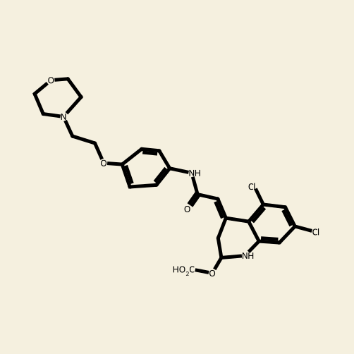 O=C(/C=C1\CC(OC(=O)O)Nc2cc(Cl)cc(Cl)c21)Nc1ccc(OCCN2CCOCC2)cc1